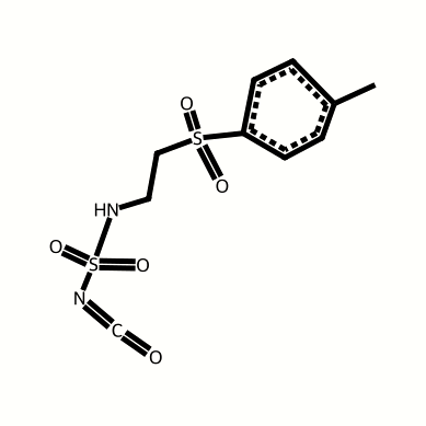 Cc1ccc(S(=O)(=O)CCNS(=O)(=O)N=C=O)cc1